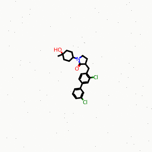 CC1(O)CCC(N2CCC(Cc3ccc(-c4cccc(Cl)c4)cc3Cl)C2=O)CC1